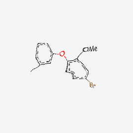 COc1cc(Br)ccc1Oc1cccc(C)c1